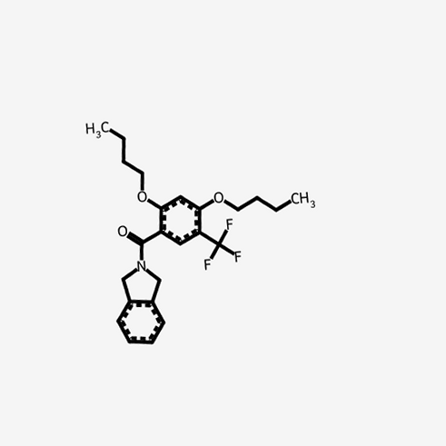 CCCCOc1cc(OCCCC)c(C(F)(F)F)cc1C(=O)N1Cc2ccccc2C1